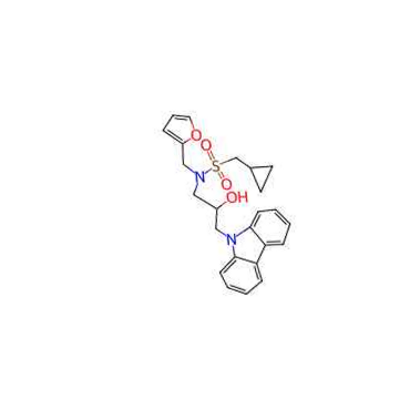 O=S(=O)(CC1CC1)N(Cc1ccco1)CC(O)Cn1c2ccccc2c2ccccc21